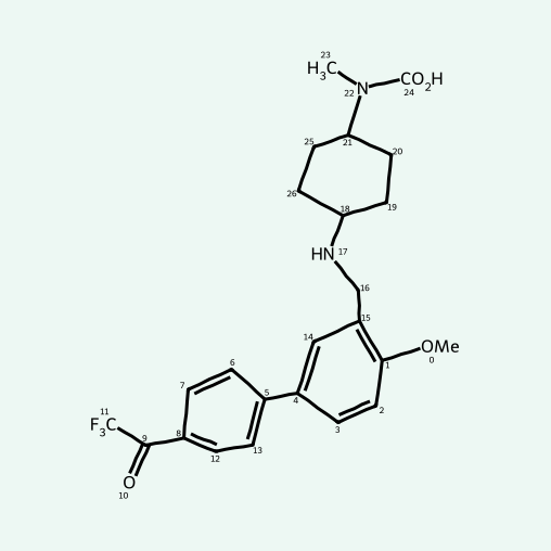 COc1ccc(-c2ccc(C(=O)C(F)(F)F)cc2)cc1CNC1CCC(N(C)C(=O)O)CC1